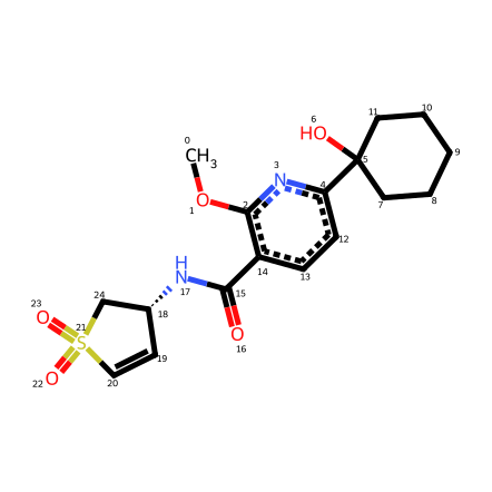 COc1nc(C2(O)CCCCC2)ccc1C(=O)N[C@@H]1C=CS(=O)(=O)C1